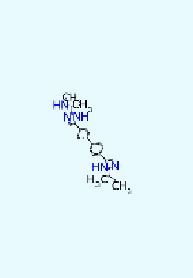 CC[C@@H](C)c1ncc(-c2ccc(-c3ccc(-c4cnc([C@H](C)NC)[nH]4)cc3)cc2)[nH]1